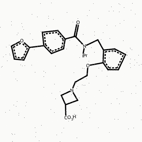 CC(C)N(Cc1ccccc1OCCN1CC(C(=O)O)C1)C(=O)c1ccc(-c2ccco2)cc1